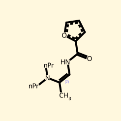 CCCN(CCC)/C(C)=C\NC(=O)c1ccco1